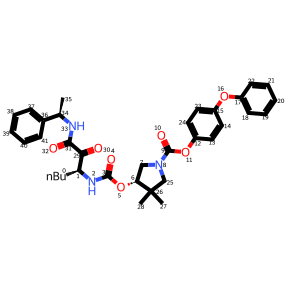 CCCC[C@H](NC(=O)O[C@@H]1CN(C(=O)Oc2ccc(Oc3ccccc3)cc2)CC1(C)C)C(=O)C(=O)N[C@H](C)c1ccccc1